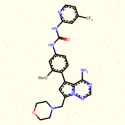 COc1cc(NC(=O)Nc2cc(C(F)(F)F)ccn2)ccc1-c1cc(CN2CCOCC2)n2ncnc(N)c12